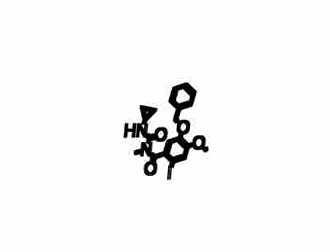 COc1cc(I)c(C(=O)N(C)C(=O)NC2CC2)cc1OCc1ccccc1